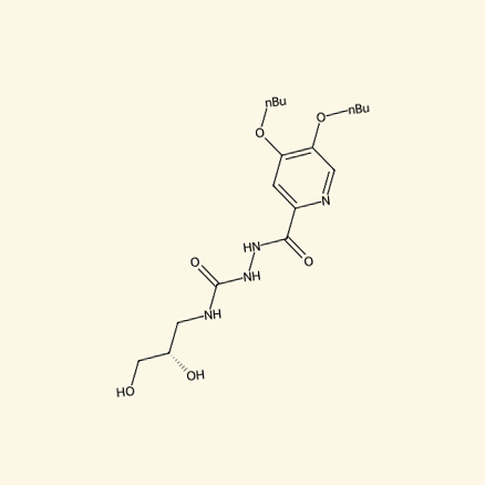 CCCCOc1cnc(C(=O)NNC(=O)NC[C@H](O)CO)cc1OCCCC